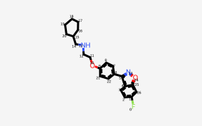 Fc1ccc2c(-c3ccc(OCCNCC4CCCCC4)cc3)noc2c1